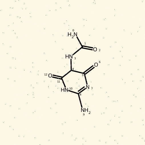 NC(=O)NC1C(=O)N=C(N)NC1=O